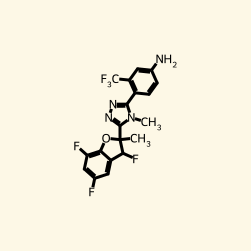 Cn1c(-c2ccc(N)cc2C(F)(F)F)nnc1C1(C)Oc2c(F)cc(F)cc2C1F